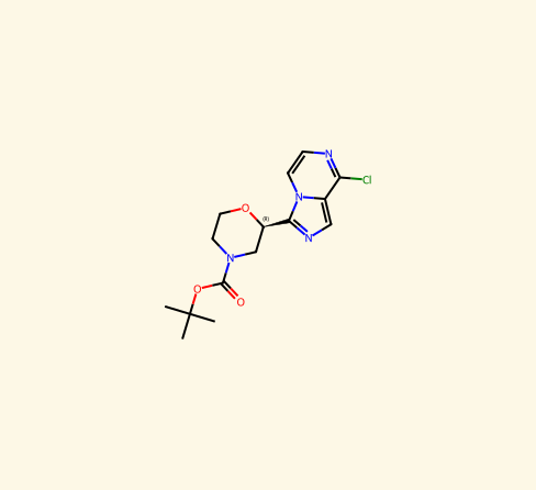 CC(C)(C)OC(=O)N1CCO[C@@H](c2ncc3c(Cl)nccn23)C1